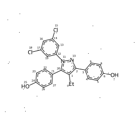 CCc1c(-c2ccc(O)cc2)nn(-c2cc(Cl)cc(Cl)c2)c1-c1ccc(O)cc1